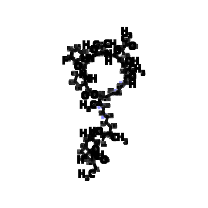 CC[C@H]1C[C@@H]2CC3=C[C@@H](C)[C@H](C[C@H](O)[C@@H](C)CC/C=C/C=C(\C)[C@@H]4C/C=C/C=C/[C@H](O)[C@H](C)[C@@H](O)[C@@H](CCC(C)=O)C(=O)N[C@@H](C(C)C)C(=O)NC(c5cccc(F)c5)C(=O)N5CCCC(N5)C(=O)O4)O[C@@]32NC1=O